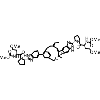 C/C=C1\C=C(\c2ccc3[nH]c([C@@H]4CCCN4C(=O)[C@H](CCOC)NC(=O)OC)nc3c2)[C@H](C)CCc2ccc(c(-c3ccc4[nH]c([C@@H]5CCCN5C(=O)[C@H](CCOC)NC(=O)OC)nc4c3)c2)CC1